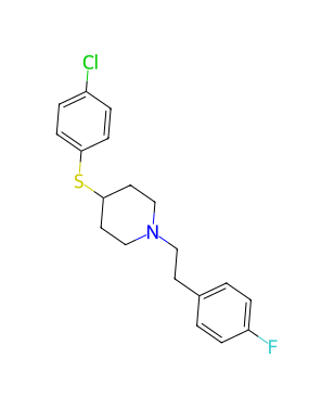 Fc1ccc(CCN2CCC(Sc3ccc(Cl)cc3)CC2)cc1